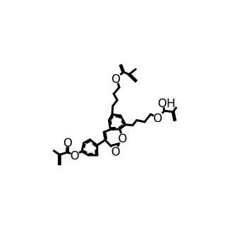 C=C(C)C(=C)OCCCCc1cc2c(c(CCCCOC(O)C(=C)C)c1)OC1OC1C(c1ccc(OC(=O)C(=C)C)cc1)=C2